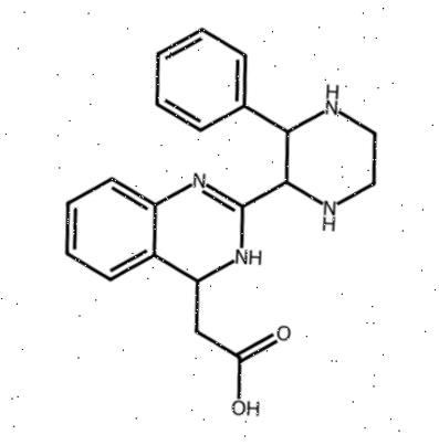 O=C(O)CC1NC(C2NCCNC2c2ccccc2)=Nc2ccccc21